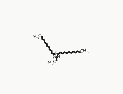 [CH2]Cc1nc(CCCCCCCCCCC)nc(CCCCCCCCCCC)n1